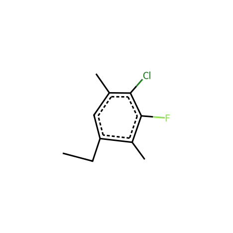 CCc1cc(C)c(Cl)c(F)c1C